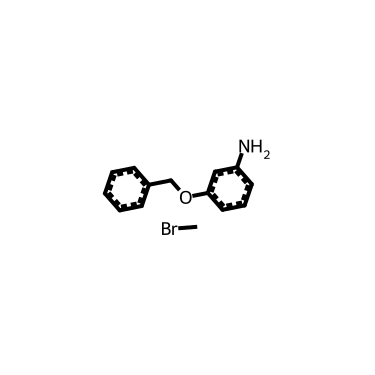 CBr.Nc1cccc(OCc2ccccc2)c1